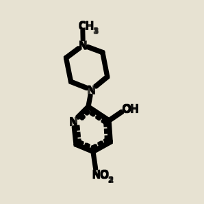 CN1CCN(c2ncc([N+](=O)[O-])cc2O)CC1